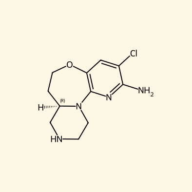 Nc1nc2c(cc1Cl)OCC[C@@H]1CNCCN21